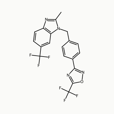 Cc1nc2ccc(C(F)(F)F)cc2n1Cc1ccc(-c2noc(C(F)(F)F)n2)cc1